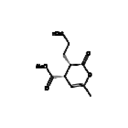 CCCCCCCCCC[C@@H]1C(=O)OC(C)=C[C@@H]1C(=O)OC